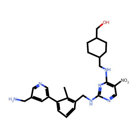 Cc1c(CNc2ncc([N+](=O)[O-])c(NCC3CCC(CO)CC3)n2)cccc1-c1cncc(CN)c1